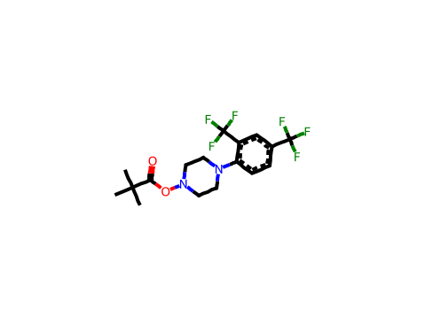 CC(C)(C)C(=O)ON1CCN(c2ccc(C(F)(F)F)cc2C(F)(F)F)CC1